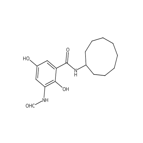 O=CNc1cc(O)cc(C(=O)NC2CCCCCCCC2)c1O